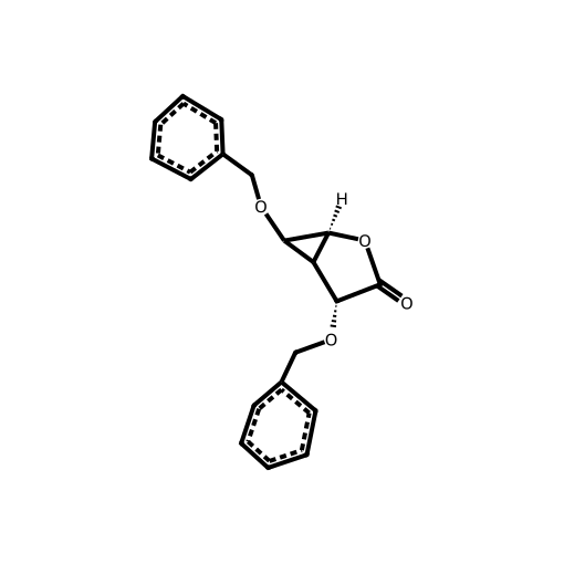 O=C1O[C@@H]2C(OCc3ccccc3)C2[C@H]1OCc1ccccc1